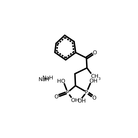 CC(CC(P(=O)(O)O)P(=O)(O)O)C(=O)c1ccccc1.[NaH].[NaH]